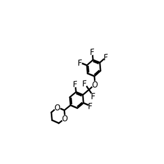 Fc1cc(OC(F)(F)c2c(F)cc(C3OCCCO3)cc2F)cc(F)c1F